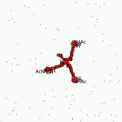 CC(=O)N[C@H]1[C@H]2OC[C@](COCCOCCOCCOCCn3cc(COCC(COCc4cn(CCOCCOCCOCCOC[C@@]56CO[C@@H](O5)[C@H](NC(C)=O)[C@@H](O)[C@H]6O)nn4)(COCc4cn(CCOCCOCCOCCOC[C@@]56CO[C@@H](O5)[C@H](NC(C)=O)[C@@H](O)[C@H]6O)nn4)NC(=O)CCCCCN=[N+]=[N-])nn3)(O2)[C@H](O)[C@@H]1O